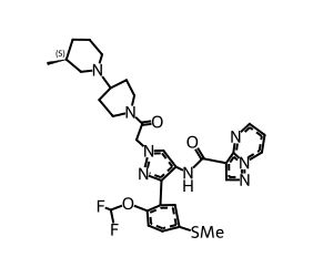 CSc1ccc(OC(F)F)c(-c2nn(CC(=O)N3CCC(N4CCC[C@H](C)C4)CC3)cc2NC(=O)c2cnn3cccnc23)c1